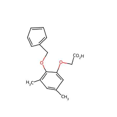 Cc1cc(C)c(OCc2ccccc2)c(OCC(=O)O)c1